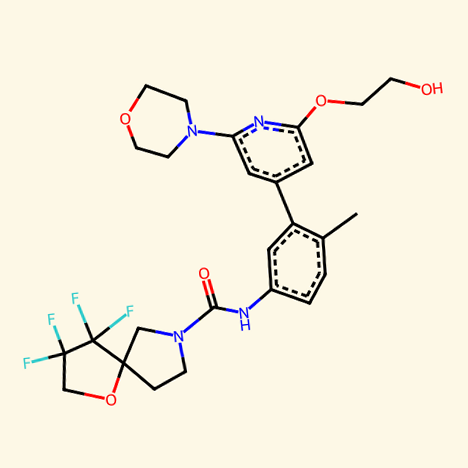 Cc1ccc(NC(=O)N2CCC3(C2)OCC(F)(F)C3(F)F)cc1-c1cc(OCCO)nc(N2CCOCC2)c1